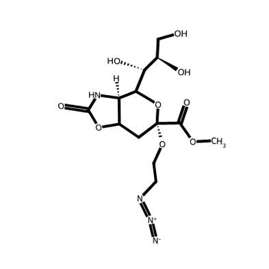 COC(=O)[C@@]1(OCCN=[N+]=[N-])CC2OC(=O)N[C@H]2C([C@H](O)[C@H](O)CO)O1